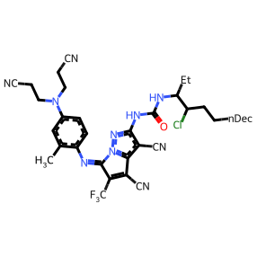 [CH2]CC(NC(=O)Nc1nn2c(c1C#N)C(C#N)=C(C(F)(F)F)C2=Nc1ccc(N(CCC#N)CCC#N)cc1C)C(Cl)CCCCCCCCCCCC